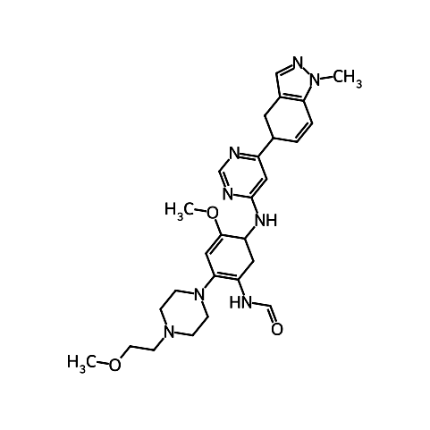 COCCN1CCN(C2=C(NC=O)CC(Nc3cc(C4C=Cc5c(cnn5C)C4)ncn3)C(OC)=C2)CC1